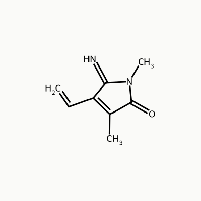 C=CC1=C(C)C(=O)N(C)C1=N